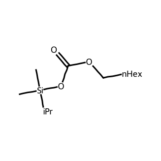 CCCCCCCOC(=O)O[Si](C)(C)C(C)C